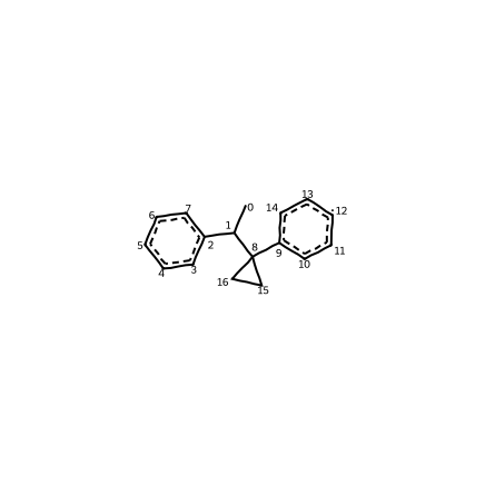 CC(c1ccccc1)C1(c2cc[c]cc2)CC1